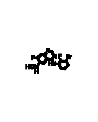 ONc1cc2c(Nc3cccc(Br)c3F)ncnc2cc1F